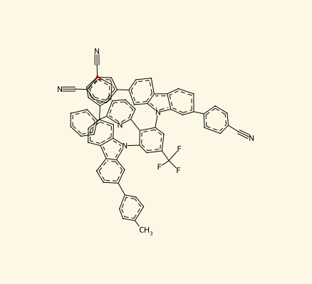 Cc1ccc(-c2ccc3c4ccc(-c5ccc(C#N)cc5)cc4n(-c4cc(C(F)(F)F)cc(-n5c6cc(-c7ccc(C#N)cc7)ccc6c6ccc(-c7ccc(C#N)cc7)cc65)c4-c4cccc(-c5ccccc5)n4)c3c2)cc1